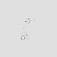 Cc1cn([C@@H]2O[C@H](CNC(=O)c3ccccc3[N+](=O)[O-])C(O)C2O)c(=O)[nH]c1=O